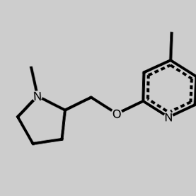 Cc1ccnc(OCC2CCCN2C)c1